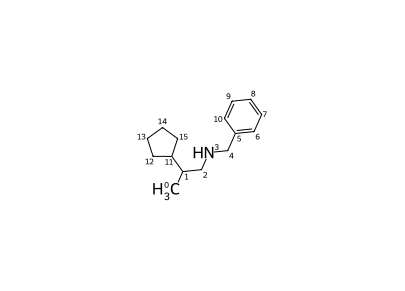 CC(CNCc1ccccc1)C1CCCC1